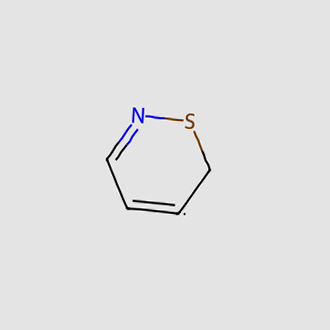 [C]1=CC=NSC1